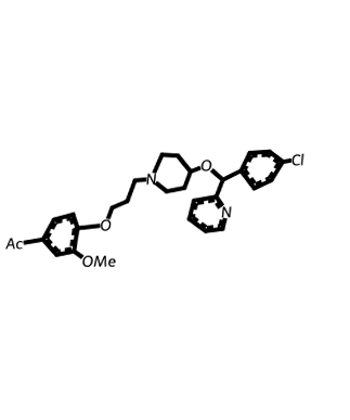 COc1cc(C(C)=O)ccc1OCCCN1CCC(OC(c2ccc(Cl)cc2)c2ccccn2)CC1